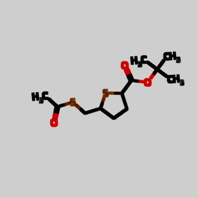 CC(=O)SCC1CCC(C(=O)OC(C)(C)C)S1